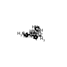 CCSc1cccc2c1nc(N[C@@H]1CNCCNC1O)n1nc(-c3cnn(C)c3)nc21